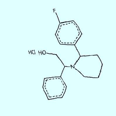 Cl.OCC(c1ccccc1)N1CCCCC1c1ccc(F)cc1